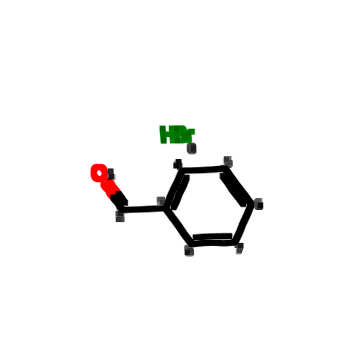 Br.O=Cc1ccccc1